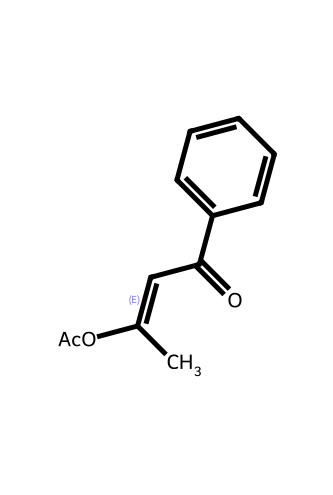 CC(=O)O/C(C)=C/C(=O)c1ccccc1